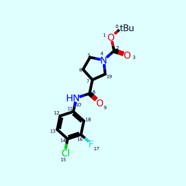 CC(C)(C)OC(=O)N1CCC(C(=O)Nc2ccc(Cl)c(F)c2)C1